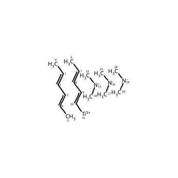 CC=CC=CC.CC=CC=[CH][Ti+3].C[N-]C.C[N-]C.C[N-]C